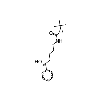 CC(C)(C)OC(=O)NCCCC[C@@H](O)c1ccccc1